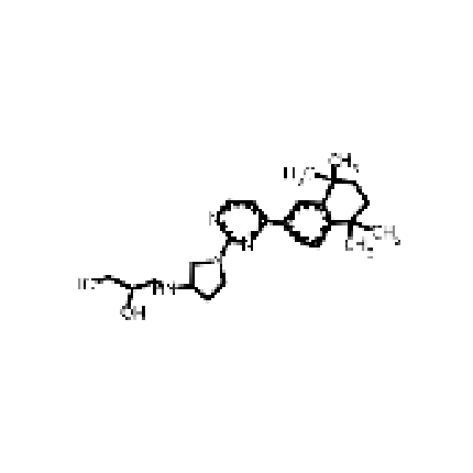 CC1(C)CCC(C)(C)c2cc(-c3ccnc(N4CCC(NCC(O)CO)C4)n3)ccc21